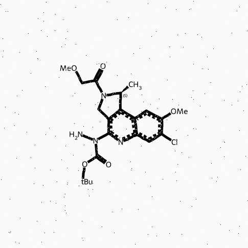 COCC(=O)N1Cc2c(N(N)C(=O)OC(C)(C)C)nc3cc(Cl)c(OC)cc3c2[C@@H]1C